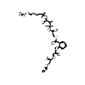 CC(C(=O)OC(C)(C)CCCCON=O)C(C)(C)OC(=O)COC(=O)c1ccccc1OC(=O)COC(=O)CON=O